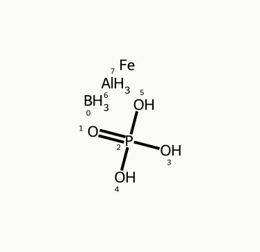 B.O=P(O)(O)O.[AlH3].[Fe]